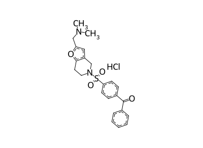 CN(C)Cc1cc2c(o1)CCN(S(=O)(=O)c1ccc(C(=O)c3ccccc3)cc1)C2.Cl